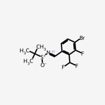 CC(C)(C)[S+]([O-])/N=C/c1ccc(Br)c(F)c1C(F)F